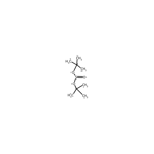 CC(C)(C)OS(=O)OC(C)(C)C